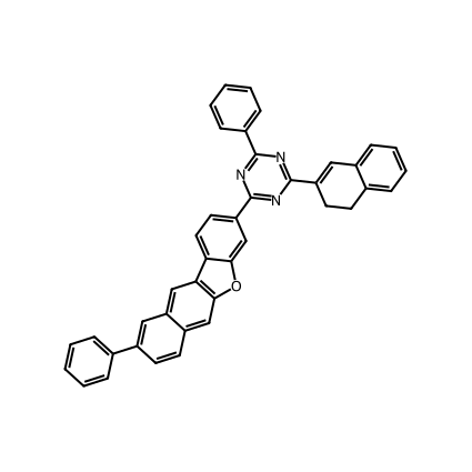 C1=C(c2nc(-c3ccccc3)nc(-c3ccc4c(c3)oc3cc5ccc(-c6ccccc6)cc5cc34)n2)CCc2ccccc21